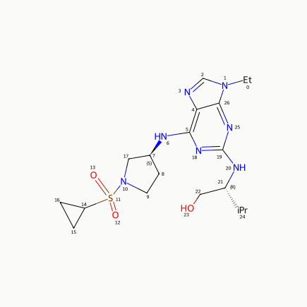 CCn1cnc2c(N[C@H]3CCN(S(=O)(=O)C4CC4)C3)nc(N[C@@H](CO)C(C)C)nc21